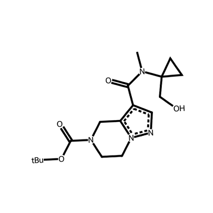 CN(C(=O)c1cnn2c1CN(C(=O)OC(C)(C)C)CC2)C1(CO)CC1